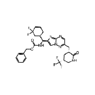 O=C(N[C@H](c1cn2nc(C[C@H]3C[C@@H](C(F)(F)F)CNC3=O)cnc2n1)[C@@H]1CCCC(F)(F)C1)OCc1ccccc1